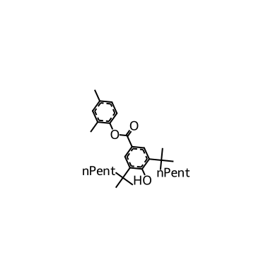 CCCCCC(C)(C)c1cc(C(=O)Oc2ccc(C)cc2C)cc(C(C)(C)CCCCC)c1O